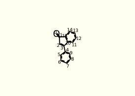 O=C1C=C(c2ccccc2)c2ccccc21